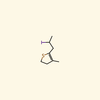 CC1=C(CC(C)I)SCC1